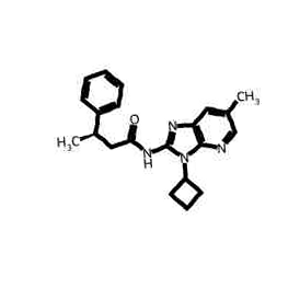 Cc1cnc2c(c1)nc(NC(=O)C[C@@H](C)c1ccccc1)n2C1CCC1